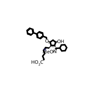 CON=C(C1CCCCC1)[C@@H]1[C@@H](C/C=C\CCCC(=O)O)[C@@H](OCc2ccc(-c3ccccc3)cc2)C[C@H]1O